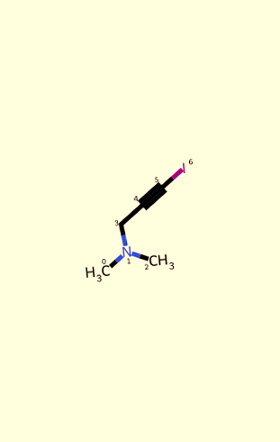 CN(C)CC#CI